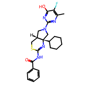 Cc1nc(N2C[C@H]3CSC(NC(=O)c4ccccc4)=N[C@@]3(C3CCCCC3)C2)nc(O)c1F